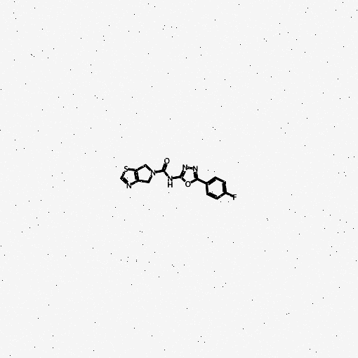 O=C(Nc1nnc(-c2ccc(F)cc2)o1)N1Cc2ncsc2C1